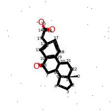 C[C@@]12CCCC1C1CC(=O)c3cc(CC([O])=O)ccc3C1CC2